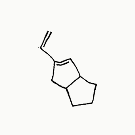 C=[C]C1=CC2CCCC2C1